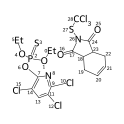 CCOP(=S)(OCC)Oc1nc(Cl)c(Cl)cc1Cl.O=C1C2CC=CCC2C(=O)N1SC(Cl)(Cl)Cl